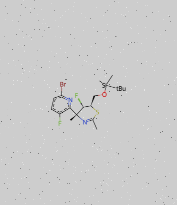 CC1=N[C@](C)(c2nc(Br)ccc2F)[C@@H](F)[C@@H](CO[Si](C)(C)C(C)(C)C)S1